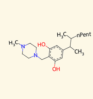 CCCCCC(C)C(C)c1cc(O)c(CN2CCN(C)CC2)c(O)c1